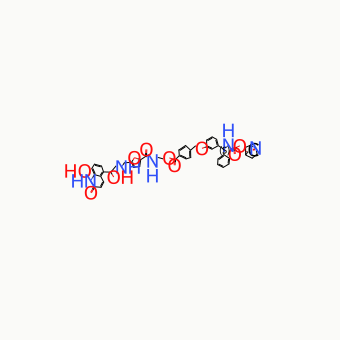 O=C(N[C@@H](c1ccccc1)c1cccc(OCc2ccc(C(=O)OCCNC(=O)c3ccc(CNCC(O)c4ccc(O)c5[nH]c(=O)ccc45)o3)cc2)c1)OC1CN2CCC1CC2